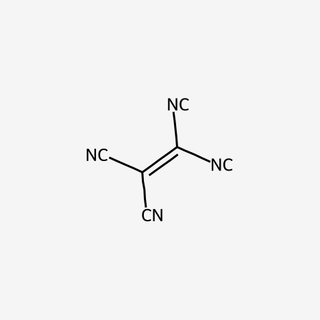 [C-]#[N+]C([N+]#[C-])=C(C#N)C#N